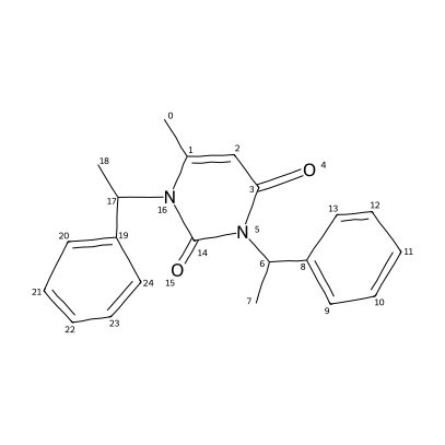 Cc1cc(=O)n(C(C)c2ccccc2)c(=O)n1C(C)c1ccccc1